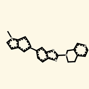 Cn1ccc2cc(-c3ccc4oc(N5CCc6ccncc6C5)nc4c3)ccc21